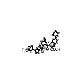 O=C(N[C@@H](Cc1ccc(-c2ccccc2)cc1)C(=O)O)c1cc(Br)ccc1NS(=O)(=O)c1ccc(-c2cc(C(F)(F)F)on2)s1